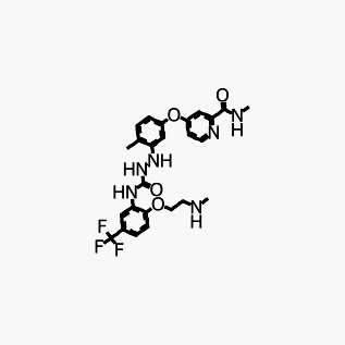 CNCCOc1ccc(C(F)(F)F)cc1NC(=O)NNc1cc(Oc2ccnc(C(=O)NC)c2)ccc1C